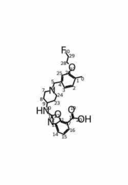 Cc1ccc(CN2CCC(Nc3nc4cccc(C(=O)O)c4o3)CC2)cc1OCCF